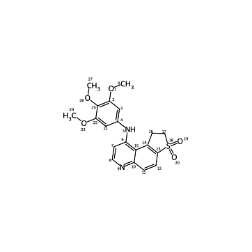 COc1cc(Nc2ccnc3ccc4c(c23)CCS4(=O)=O)cc(OC)c1OC